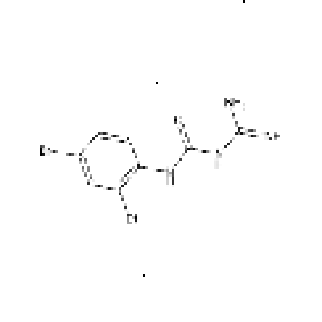 CCc1cc(Br)ccc1NC(=O)NC(=N)N